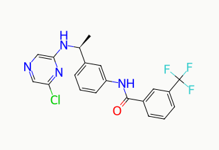 C[C@H](Nc1cncc(Cl)n1)c1cccc(NC(=O)c2cccc(C(F)(F)F)c2)c1